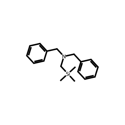 C[Si](C)(C)CN(Cc1ccccc1)Cc1ccccc1